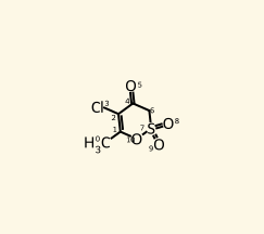 CC1=C(Cl)C(=O)CS(=O)(=O)O1